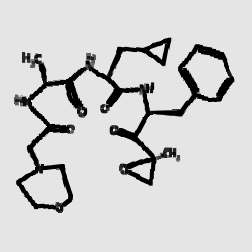 C[C@H](NC(=O)CN1CCOCC1)C(=O)N[C@@H](CC1CC1)C(=O)N[C@@H](Cc1ccccc1)C(=O)[C@@]1(C)CO1